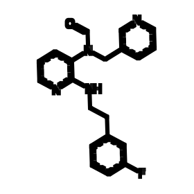 O=CN(Cc1cccnc1)c1cccnc1NCCc1cccc(F)c1